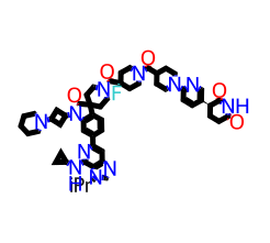 CC(C)n1cnc2cc(-c3ccc4c(c3)N(C3CC(N5CCCCC5)C3)C(=O)C43CCN(C(=O)C4(F)CCN(C(=O)C5CCN(c6ccc([C@H]7CCC(=O)NC7=O)cn6)CC5)CC4)CC3)nc(NC3CC3)c21